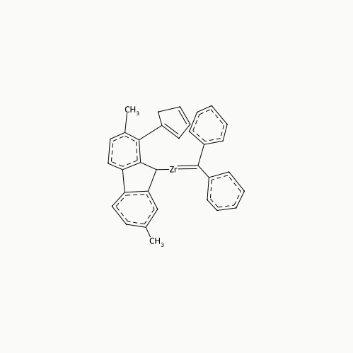 Cc1ccc2c(c1)[CH]([Zr]=[C](c1ccccc1)c1ccccc1)c1c-2ccc(C)c1C1=CC=CC1